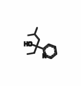 CCC(O)(CC(C)C)c1ccccn1